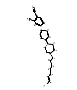 N#Cc1ccc([C@H]2CC[C@H]([C@H]3CC[C@H](CCCCCC=CF)CC3)CC2)cc1F